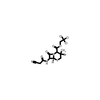 CC1(Br)CS[C@@H]2C(NC(=O)CC#N)C(=O)N2C1C(=O)OCC(Cl)(Cl)Cl